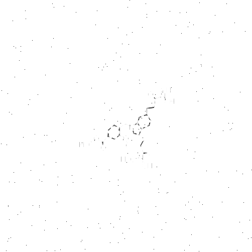 COC(=O)c1ccc(Cn2cc(/C=C/C(=O)N(C)C)c3ccc(/C=C/C(=O)N(C)C)cc32)c(OC)c1